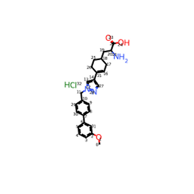 COc1cccc(-c2ccc(Cn3cc(C4=CCC(CC(N)C(=O)O)CC4)cn3)cc2)c1.Cl